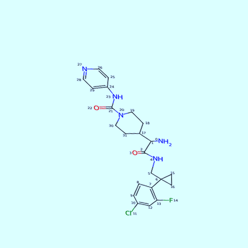 NC(C(=O)NCC1(c2ccc(Cl)cc2F)CC1)C1CCN(C(=O)Nc2ccncc2)CC1